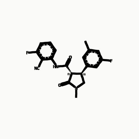 Cc1cc(F)cc([C@H]2CN(C)C(=O)[C@@H]2C(=O)Nc2cccc(F)c2C#N)c1